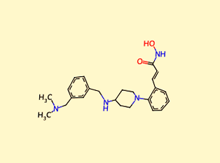 CN(C)Cc1cccc(CNC2CCN(c3ccccc3C=CC(=O)NO)CC2)c1